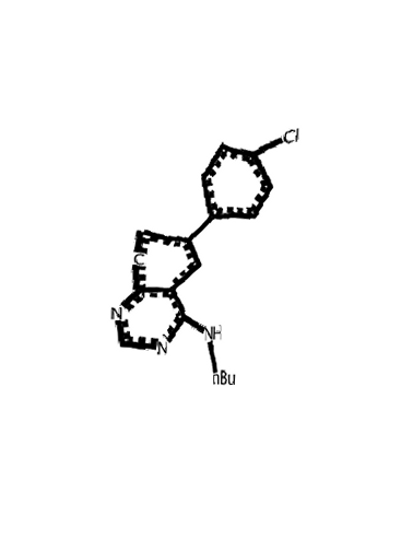 CCCCNc1ncnc2ccc(-c3ccc(Cl)cc3)cc12